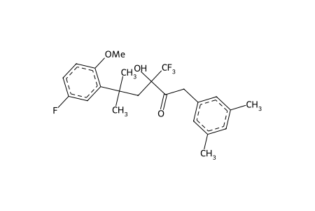 COc1ccc(F)cc1C(C)(C)CC(O)(C(=O)Cc1cc(C)cc(C)c1)C(F)(F)F